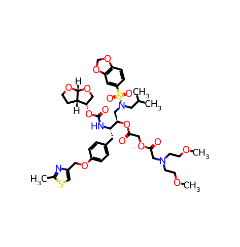 COCCN(CCOC)CC(=O)OCC(=O)O[C@H](CN(CC(C)C)S(=O)(=O)c1ccc2c(c1)OCO2)[C@H](Cc1ccc(OCc2csc(C)n2)cc1)NC(=O)O[C@H]1CO[C@H]2OCC[C@H]21